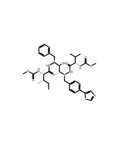 CC[C@H](C)[C@H](NC(=O)OC)C(=O)N[C@@H](Cc1ccccc1)[C@@H](O)CN(Cc1ccc(-c2cncs2)cc1)NC(=O)[C@@H](NC(=O)OC)C(C)C